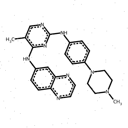 Cc1cnc(Nc2ccc(N3CCN(C)CC3)cc2)nc1Nc1ccc2nccnc2c1